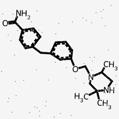 CC1CNC(C)(C)CN1COc1cccc(Cc2ccc(C(N)=O)cc2)c1